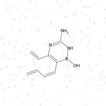 C=C/C=C\C1=C(C=C)N=C(N)NB1O